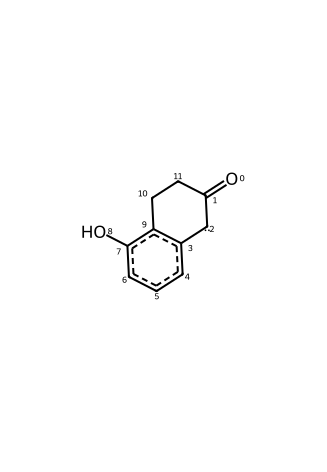 O=C1[C]c2cccc(O)c2CC1